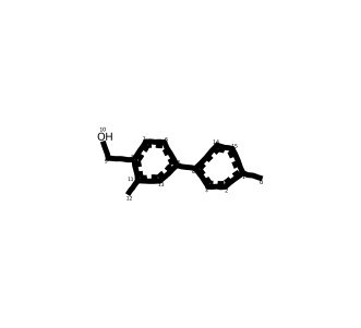 Cc1ccc(-c2ccc(CO)c(C)c2)cc1